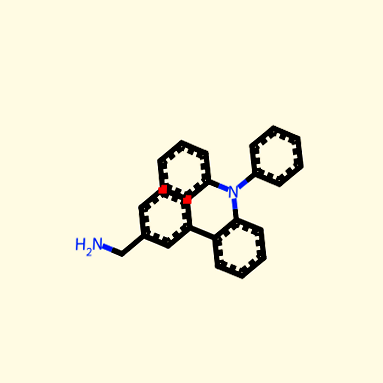 NCc1cccc(-c2ccccc2N(c2ccccc2)c2ccccc2)c1